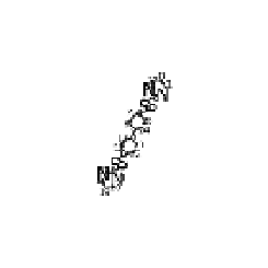 c1cnc(SSc2ccc(-c3ccc(SSc4ncccn4)cc3)cc2)nc1